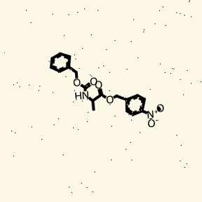 CC(NC(=O)OCc1ccccc1)C(=O)OCc1ccc([N+](=O)[O-])cc1